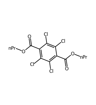 CCCOC(=O)c1c(Cl)c(Cl)c(C(=O)OCCC)c(Cl)c1Cl